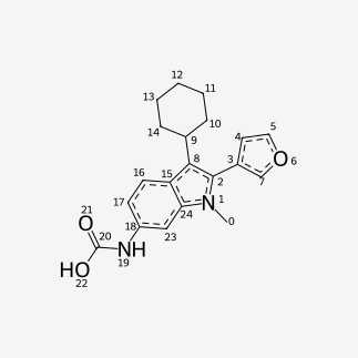 Cn1c(-c2ccoc2)c(C2CCCCC2)c2ccc(NC(=O)O)cc21